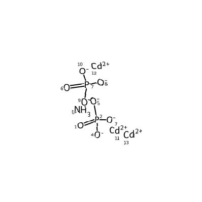 N.O=P([O-])([O-])[O-].O=P([O-])([O-])[O-].[Cd+2].[Cd+2].[Cd+2]